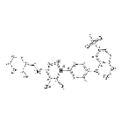 CS(=O)(=O)c1ccc(OC(F)(F)F)c(Oc2ccc(-n3ncc(NC[C@@H]4CCCOC4F)c(Cl)c3=O)cn2)c1